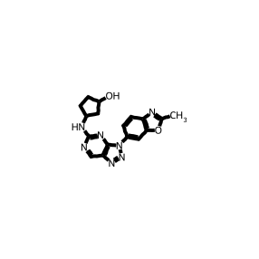 Cc1nc2ccc(-n3nnc4cnc(NC5CCC(O)C5)nc43)cc2o1